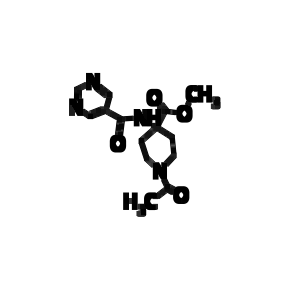 COC(=O)C1(NC(=O)c2cncnc2)CCN(C(C)=O)CC1